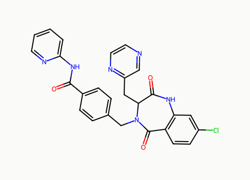 O=C(Nc1ccccn1)c1ccc(CN2C(=O)c3ccc(Cl)cc3NC(=O)C2Cc2cnccn2)cc1